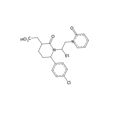 CCC(Cn1ccccc1=O)N1C(=O)C(CC(=O)O)CCC1c1ccc(Cl)cc1